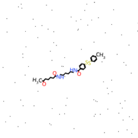 CC(=O)CCCCC(=O)NCCCCCCNC(=O)c1ccc(SSc2ccc(C)cc2)cc1